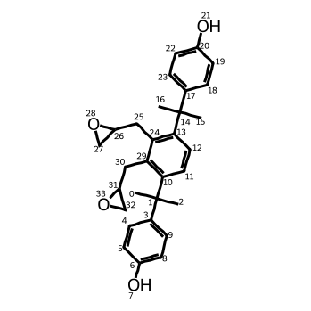 CC(C)(c1ccc(O)cc1)c1ccc(C(C)(C)c2ccc(O)cc2)c(CC2CO2)c1CC1CO1